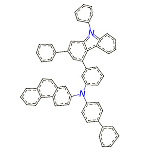 c1ccc(-c2ccc(N(c3cccc(-c4cc(-c5ccccc5)cc5c4c4ccccc4n5-c4ccccc4)c3)c3ccc4c(ccc5ccccc54)c3)cc2)cc1